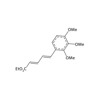 CCOC(=O)C=CC=Cc1ccc(OC)c(OC)c1OC